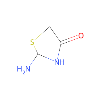 NC1NC(=O)CS1